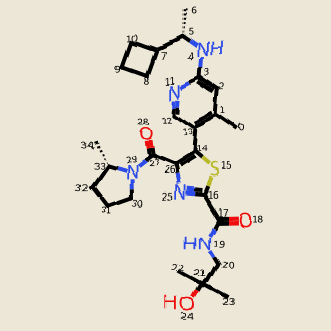 Cc1cc(N[C@@H](C)C2CCC2)ncc1-c1sc(C(=O)NCC(C)(C)O)nc1C(=O)N1CCC[C@@H]1C